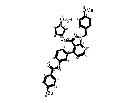 COc1ccc(Cn2nc(N[C@@H]3CCN(C(=O)O)C3)c3c(-c4cccc(NC(=O)c5ccc(C(C)(C)C)cc5)c4)ccnc32)cc1